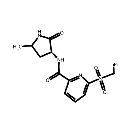 CC(C)CS(=O)(=O)c1cccc(C(=O)N[C@H]2CC(C)NC2=O)n1